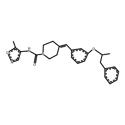 Cc1oncc1NC(=O)N1CCC(=Cc2cccc(OC(C)Cc3ccccc3)c2)CC1